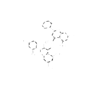 O=c1c(O)c(-c2ccc(O)cc2O)oc2cc(O)cc(O)c12.O=c1cc(-c2ccccc2)oc2cc(O)cc(O)c12